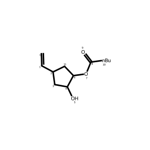 C=CC1CC(O)C(OC(=O)CCCC)C1